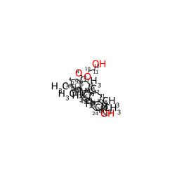 C[C@H]1[C@H](C)CC[C@]2(C(=O)OCCO)CC[C@]3(C)C(=CC[C@@H]4[C@@]5(C)CC[C@H](O)C(C)(C)C5CC[C@]43C)[C@H]12